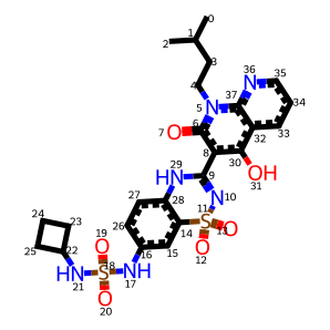 CC(C)CCn1c(=O)c(C2=NS(=O)(=O)c3cc(NS(=O)(=O)NC4CCC4)ccc3N2)c(O)c2cccnc21